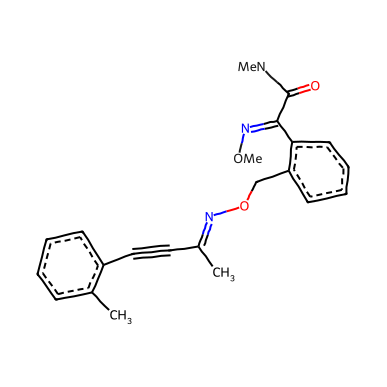 CNC(=O)/C(=N/OC)c1ccccc1CO/N=C(\C)C#Cc1ccccc1C